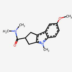 COc1ccc2c(c1)c1c(n2C)CC(C(=O)N(C)C)C1